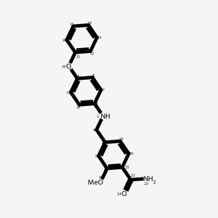 COc1cc(CNc2ccc(Oc3ccccc3)cc2)ccc1C(N)=O